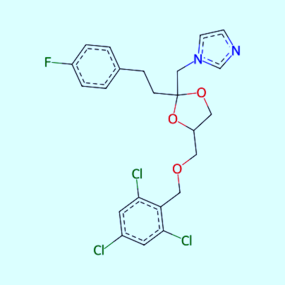 Fc1ccc(CCC2(Cn3ccnc3)OCC(COCc3c(Cl)cc(Cl)cc3Cl)O2)cc1